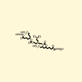 CCCCCCCOC(=O)CCCC(CCCC(=O)O)OC(=O)OCCN(CCOC(=O)OC(CCCC(=O)O)CCCC(=O)OCCCCCC)CCN(CC)CC